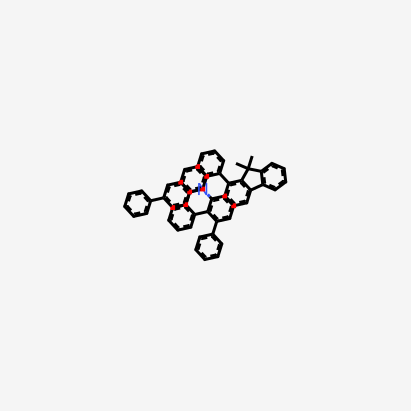 CC1(C)c2ccccc2-c2cccc(-c3ccccc3N(c3ccc(-c4ccccc4)cc3)c3cccc(-c4ccccc4)c3-c3ccccc3-c3ccccc3)c21